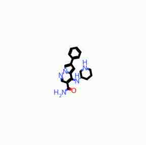 NC(=O)c1cnn2cc(-c3ccccc3)cc2c1N[C@H]1CCCNC1